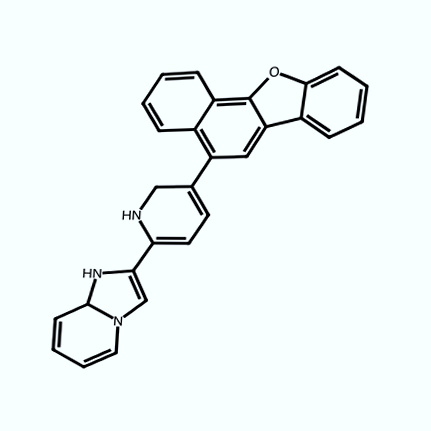 C1=CC2NC(C3=CC=C(c4cc5c6ccccc6oc5c5ccccc45)CN3)=CN2C=C1